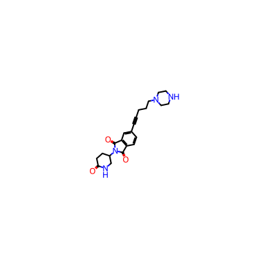 O=C1CCC(N2C(=O)c3ccc(C#CCCCN4CCNCC4)cc3C2=O)CN1